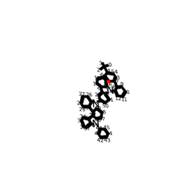 CC(C)(C)c1ccc(-c2ccccc2-n2c3ccccc3c3cc(-n4c5ccccc5c5c6c7ccccc7n(-c7ccccc7)c6ccc54)ccc32)cc1